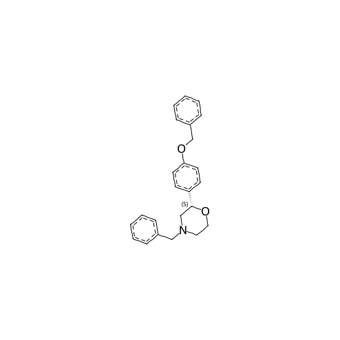 c1ccc(COc2ccc([C@H]3CN(Cc4ccccc4)CCO3)cc2)cc1